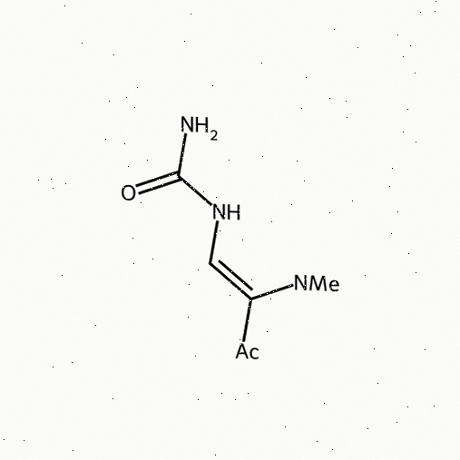 CN/C(=C\NC(N)=O)C(C)=O